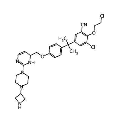 CC(C)(c1ccc(OCC2C=CN=C(N3CCN(C4CNC4)CC3)N2)cc1)c1cc(Cl)c(OCCCl)c(C#N)c1